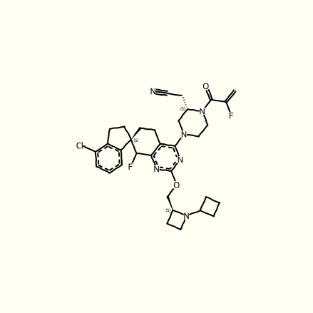 C=C(F)C(=O)N1CCN(c2nc(OC[C@@H]3CCN3C3CCC3)nc3c2CC[C@@]2(CCc4c(Cl)cccc42)C3F)C[C@@H]1CC#N